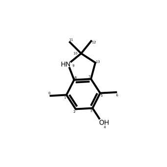 Cc1cc(O)c(C)c2c1NC(C)(C)C2